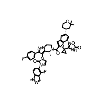 C[C@@H]1c2c(-n3ccn(-c4ccc5c(cnn5C)c4F)c3=O)c(-c3ccc(F)cc3)nn2CCN1C(=O)c1cc2cc([C@@H]3CCOC(C)(C)C3)ccc2n1C1(c2noc(=O)[nH]2)CC1